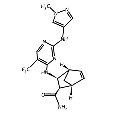 Cn1cc(Nc2ncc(C(F)(F)F)c(N[C@@H]3[C@H](C(N)=O)[C@H]4C=C[C@@H]3C4)n2)cn1